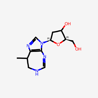 CC1CNC=Nc2c1ncn2[C@H]1CC(O)[C@@H](CO)O1